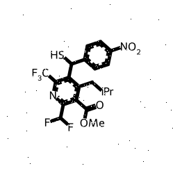 COC(=O)c1c(C(F)F)nc(C(F)(F)F)c(C(S)c2ccc([N+](=O)[O-])cc2)c1CC(C)C